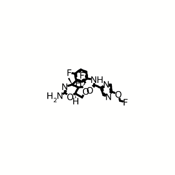 C[C@]1(c2cc(NC(=O)c3cnc(OCF)cn3)ccc2F)N=C(N)O[C@@H]2CO[C@@H](CF)[C@@H]21